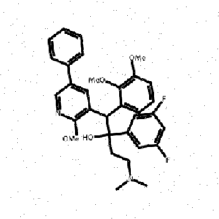 COc1cccc(C(c2cc(-c3ccccc3)cnc2OC)C(O)(CCN(C)C)c2cc(F)cc(F)c2)c1OC